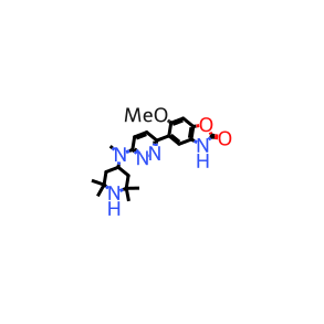 COc1cc2oc(=O)[nH]c2cc1-c1ccc(N(C)C2CC(C)(C)NC(C)(C)C2)nn1